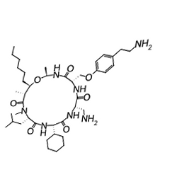 CCCCCC[C@H]1O[C@@H](C)NC(=O)[C@H](COc2ccc(CCN)cc2)NC(=O)[C@H](CN)NC(=O)[C@H](C2CCCCC2)NC(=O)[C@H](CC(C)C)N(C)C(=O)[C@@H]1C